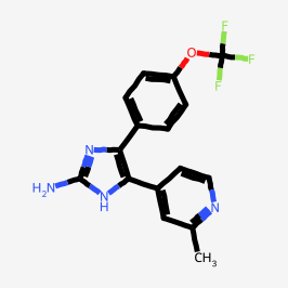 Cc1cc(-c2[nH]c(N)nc2-c2ccc(OC(F)(F)F)cc2)ccn1